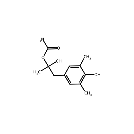 Cc1cc(CC(C)(C)OC(N)=O)cc(C)c1O